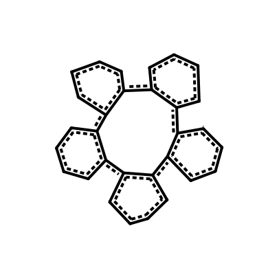 [c]1cccc2c1c1ccccc1c1ccccc1c1ccccc1c1ccccc21